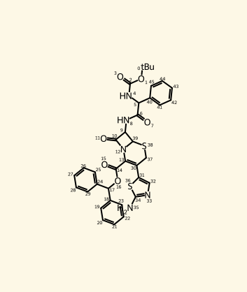 CC(C)(C)OC(=O)NC(C(=O)NC1C(=O)N2C(C(=O)OC(c3ccccc3)c3ccccc3)=C(c3cnc(N)s3)CSC12)c1ccccc1